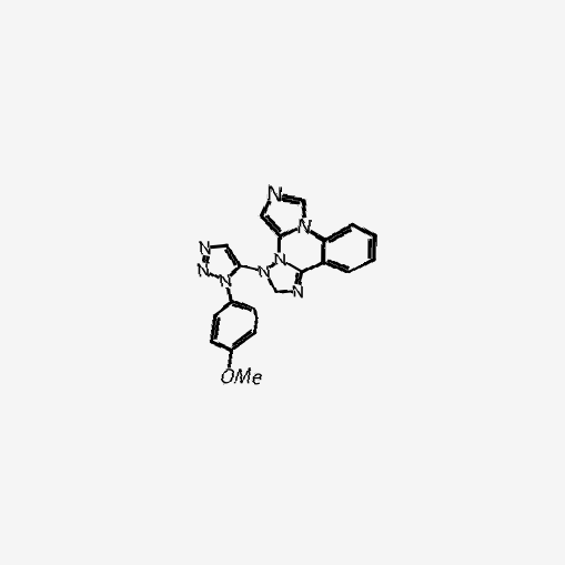 COc1ccc(-n2nncc2N2CN=C3c4ccccc4-n4cncc4N32)cc1